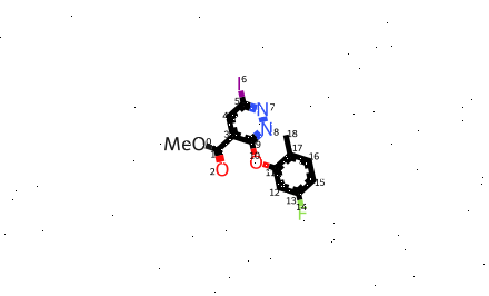 COC(=O)c1cc(I)nnc1Oc1cc(F)ccc1C